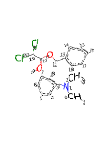 CN(C)c1ccccc1.O=C(OCc1ccccc1)C(Cl)Cl